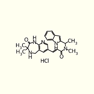 CC(c1cc2ccccc2[nH]1)N(C)C(=O)/C=C/c1cnc2c(c1)CNC(C)(C)C(=O)N2.Cl